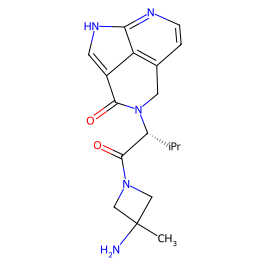 CC(C)[C@H](C(=O)N1CC(C)(N)C1)N1Cc2ccnc3[nH]cc(c23)C1=O